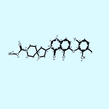 Cc1ccc(F)c(Oc2ccc3ncn(C4COC5(CCN(C(=O)OC(C)(C)C)CC5)C4)c(=O)c3c2Cl)c1C#N